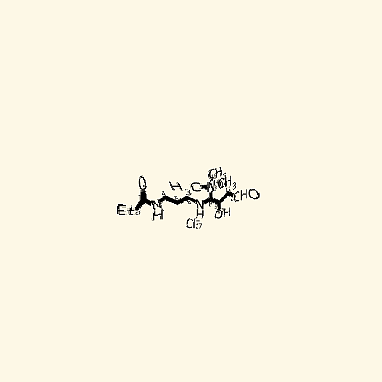 CCC(=O)NC=CCNC(C(O)CC=O)[N+](C)(C)C.[Cl-]